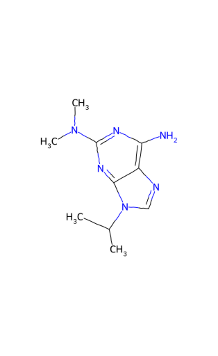 CC(C)n1cnc2c(N)nc(N(C)C)nc21